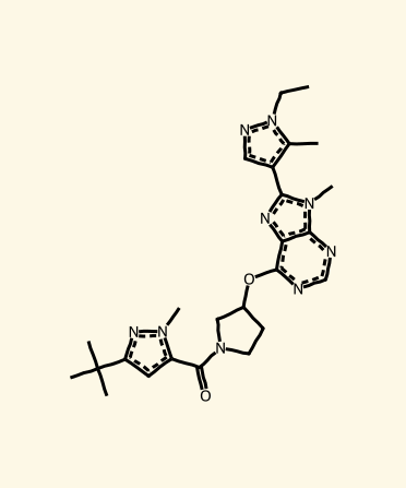 CCn1ncc(-c2nc3c(OC4CCN(C(=O)c5cc(C(C)(C)C)nn5C)C4)ncnc3n2C)c1C